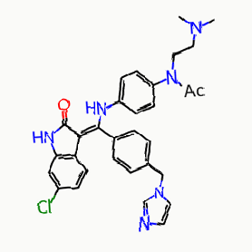 CC(=O)N(CCN(C)C)c1ccc(N/C(=C2\C(=O)Nc3cc(Cl)ccc32)c2ccc(Cn3ccnc3)cc2)cc1